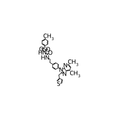 Cc1ccc(S(=O)(=O)NC(=O)NCCc2ccc(-n3c(Cc4ccsc4)nc4c(C)cc(C)nc43)cc2)cc1